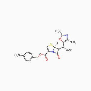 CC(=O)OC(c1oc(C)nc1C)C1C(=O)N2C(C(=O)OCc3ccc([N+](=O)[O-])cc3)=CS[C@@H]12